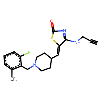 C#CCNC1=NC(=O)S/C1=C\C1CCN(Cc2c(F)cccc2C(F)(F)F)CC1